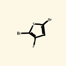 Fc1cc(Br)sc1Br